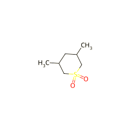 CC1CC(C)CS(=O)(=O)C1